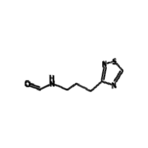 O=CNCCCc1ncsn1